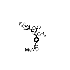 CNC(=O)COc1ccc(C(C)CN2CC(=O)OC(c3csc(C(F)(F)F)n3)C2)cc1